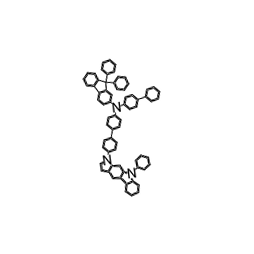 c1ccc(-c2ccc(N(c3ccc(-c4ccc(-n5ccc6cc7c8ccccc8n(-c8ccccc8)c7cc65)cc4)cc3)c3ccc4c(c3)C(c3ccccc3)(c3ccccc3)c3ccccc3-4)cc2)cc1